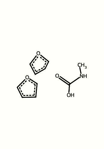 CNC(=O)O.c1ccoc1.c1ccoc1